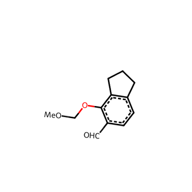 COCOc1c(C=O)ccc2c1CCC2